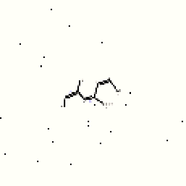 C\C=C(C)/C=C(C=O)\C=C/N